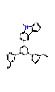 C=Cc1cccc(-c2cc(-c3cccc(C=C)c3)cc(-c3ccc4c(c3)c3ccccc3n4C)c2)c1